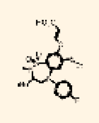 CCCCC1CN(c2ccc(F)cc2)c2cc(SCC)c(OC=CC(=O)O)cc2S(=O)(=O)N1C